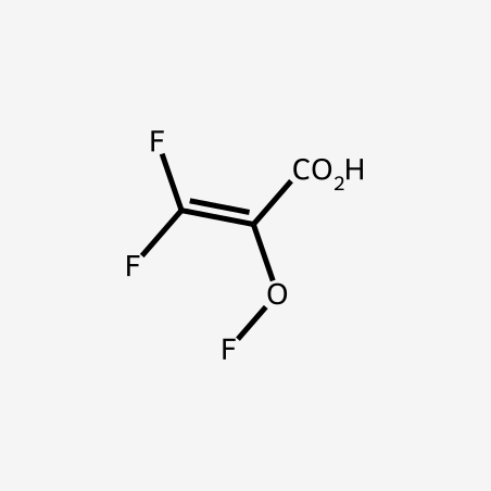 O=C(O)C(OF)=C(F)F